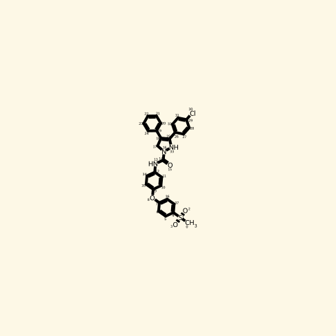 CS(=O)(=O)c1ccc(Oc2ccc(NC(=O)N3CC(c4ccccc4)=C(c4ccc(Cl)cc4)N3)cc2)cc1